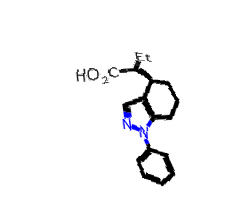 CCC(C(=O)O)=C1CCCc2c1cnn2-c1ccccc1